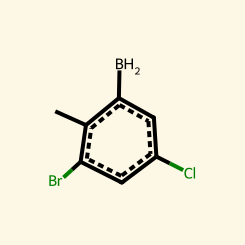 Bc1cc(Cl)cc(Br)c1C